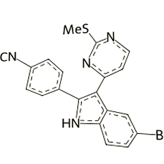 [C-]#[N+]c1ccc(-c2[nH]c3ccc(Br)cc3c2-c2ccnc(SC)n2)cc1